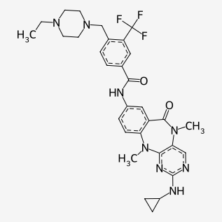 CCN1CCN(Cc2ccc(C(=O)Nc3ccc4c(c3)C(=O)N(C)c3cnc(NC5CC5)nc3N4C)cc2C(F)(F)F)CC1